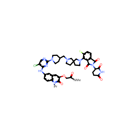 CNC(=O)COc1cc2cc(Nc3nc(N4CCC(CN5CCC6(CCN(c7c(F)ccc8c7C(=O)N(C7CCC(=O)NC7=O)C8=O)C6)C5)CC4)ncc3Cl)ccc2n(C(C)C)c1=O